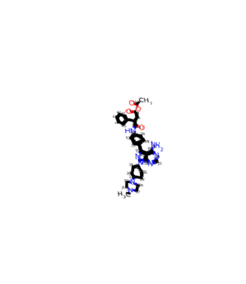 CC(=O)OC(=O)CC(C(=O)Nc1ccc(-c2nn(C3CCC(N4CCN(C)CC4)CC3)c3ncnc(N)c23)cc1)c1ccccc1